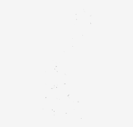 O=C(CCCCCc1ccccc1)N1CCN(c2ccnc3cc(Cl)ccc23)CC1